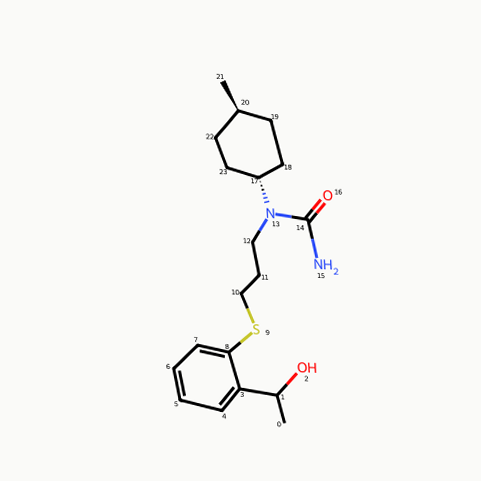 CC(O)c1ccccc1SCCCN(C(N)=O)[C@H]1CC[C@H](C)CC1